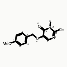 COc1ccc(COc2cnc(Cl)n(C)c2=O)cc1